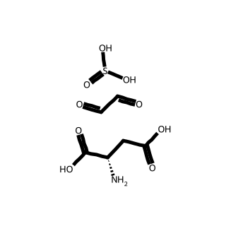 N[C@@H](CC(=O)O)C(=O)O.O=CC=O.O=S(O)O